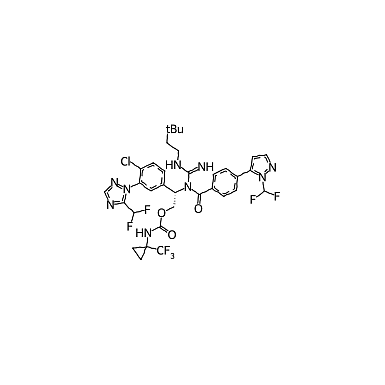 CC(C)(C)CCNC(=N)N(C(=O)c1ccc(-c2ccnn2C(F)F)cc1)[C@H](COC(=O)NC1(C(F)(F)F)CC1)c1ccc(Cl)c(-n2ncnc2C(F)F)c1